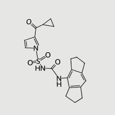 O=C(Nc1c2c(cc3c1CCC3)CCC2)NS(=O)(=O)n1ccc(C(=O)C2CC2)c1